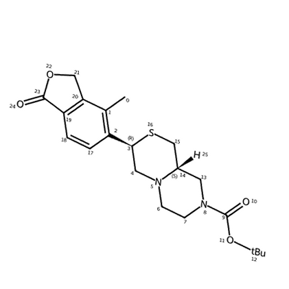 Cc1c([C@@H]2CN3CCN(C(=O)OC(C)(C)C)C[C@H]3CS2)ccc2c1COC2=O